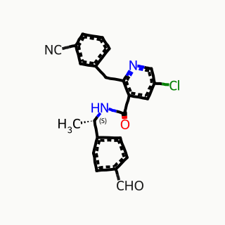 C[C@H](NC(=O)c1cc(Cl)cnc1Cc1cccc(C#N)c1)c1ccc(C=O)cc1